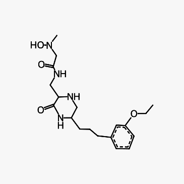 CCOc1cccc(CCCC2CNC(CNC(=O)CN(C)O)C(=O)N2)c1